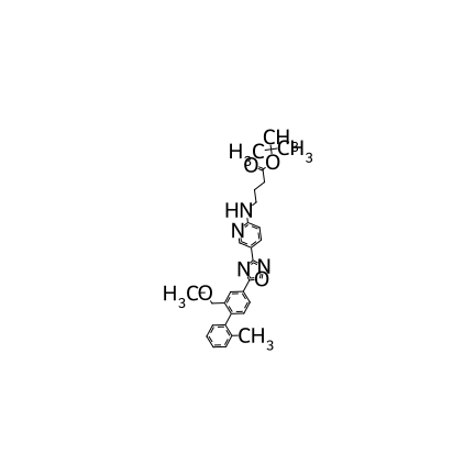 COCc1cc(-c2nc(-c3ccc(NCCCC(=O)OC(C)(C)C)nc3)no2)ccc1-c1ccccc1C